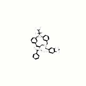 CCCCn1c(-c2ccccc2)nc(-c2cccc(C(C)C)c2)c1CN(Cc1cccc(OC(F)(F)C(F)F)c1)Cc1ccc2c(c1)OCO2